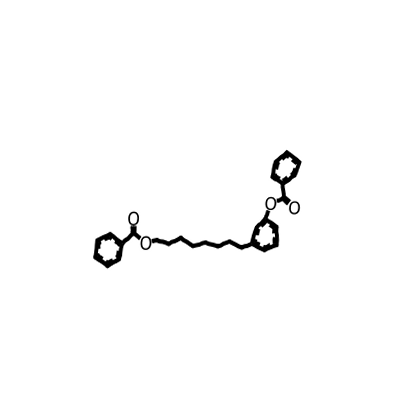 O=C(OCCCCCCCCc1cccc(OC(=O)c2ccccc2)c1)c1ccccc1